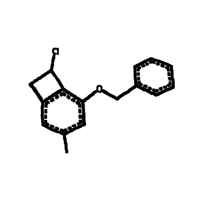 Cc1cc2c(c(OCc3ccccc3)c1)C(Cl)C2